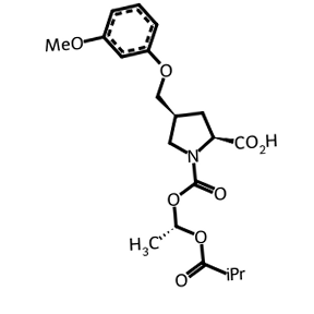 COc1cccc(OC[C@H]2C[C@@H](C(=O)O)N(C(=O)O[C@@H](C)OC(=O)C(C)C)C2)c1